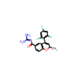 CC1C=C(c2c(F)cc(F)cc2F)c2cc(C(=O)N=C(N)N)ccc2O1